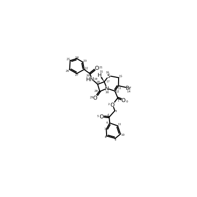 O=C(OCC(=O)c1ccccc1)C1=C(Br)CS[C@H]2C(NC(=O)c3ccccc3)C(=O)N12